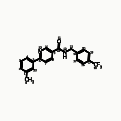 Cc1cccc(-c2ccc(C(=O)NCc3ccc(C(F)(F)F)cc3)cn2)c1